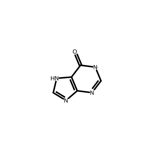 O=C1[N]C=Nc2nc[nH]c21